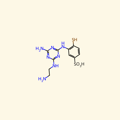 NCCNc1nc(N)nc(Nc2cc(S(=O)(=O)O)ccc2S)n1